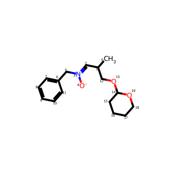 CC(C=[N+]([O-])Cc1ccccc1)COC1CCCCO1